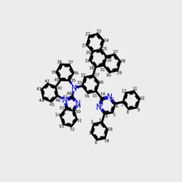 c1ccc(-c2cc(-c3ccccc3)nc(-c3cc(-c4cc5ccccc5c5ccccc45)cc(N4c5ccccc5-c5ccccc5-n5c4nc4ccccc45)c3)n2)cc1